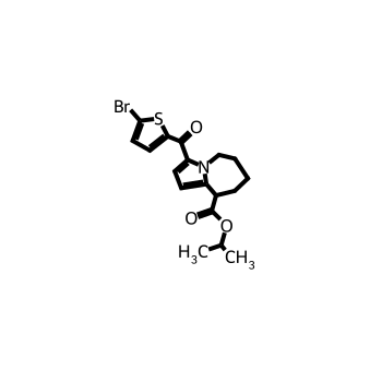 CC(C)OC(=O)C1CCCCn2c(C(=O)c3ccc(Br)s3)ccc21